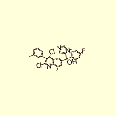 Cc1cccc(-c2c(Cl)nc3c(C)cc(C(O)(c4ccc(F)cc4)c4cncn4C)cc3c2Cl)c1